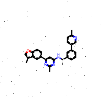 Cc1ccc(-c2cccc([C@H](C)Nc3cc(-c4ccc5occ(C)c5c4)nc(C)n3)c2)cn1